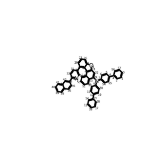 c1ccc(-c2ccc(N(c3ccc(-c4ccccc4)cc3)c3cc4oc5cccc(-c6ccc(-c7ccc8ccccc8c7)nc6)c5c4c4ccccc34)cc2)cc1